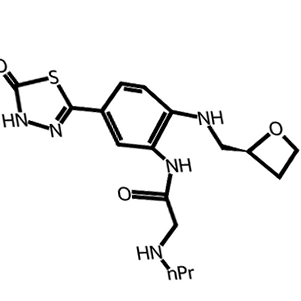 CCCNCC(=O)Nc1cc(-c2n[nH]c(=O)s2)ccc1NC[C@@H]1CCO1